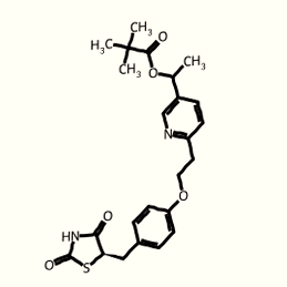 CC(OC(=O)C(C)(C)C)c1ccc(CCOc2ccc(C[C@H]3SC(=O)NC3=O)cc2)nc1